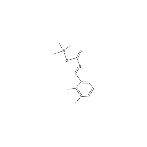 C=C(/N=C/c1cccc(C)c1C)O[Si](C)(C)C